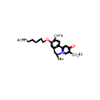 CCOC(=O)c1cn2c(cc1=O)-c1cc(OC)c(OCCCCCNC(C)=O)cc1CC2C(C)(C)C